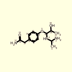 CC(N)NC(Oc1ccc(CC(N)=O)cc1)C(C)O